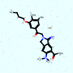 Br.CCCCc1cc(C(=O)CN2Cc3cc(N(C)C)c(C(=O)NC)cc3C2=N)cc(OCCCC#N)c1OC